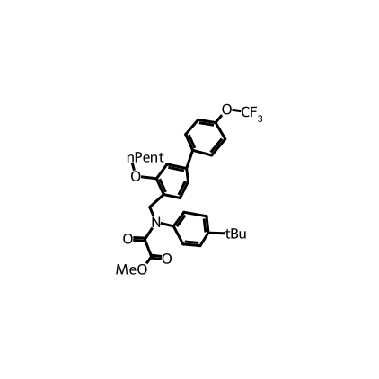 CCCCCOc1cc(-c2ccc(OC(F)(F)F)cc2)ccc1CN(C(=O)C(=O)OC)c1ccc(C(C)(C)C)cc1